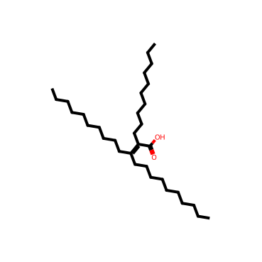 CCCCCCCCCCC(CCCCCCCCCC)=C(CCCCCCCCCC)C(=O)O